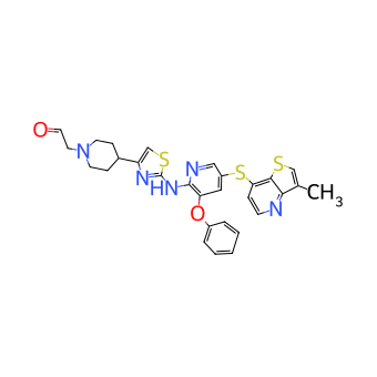 Cc1csc2c(Sc3cnc(Nc4nc(C5CCN(CC=O)CC5)cs4)c(Oc4ccccc4)c3)ccnc12